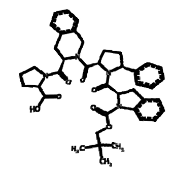 CC(C)(C)COC(=O)N1c2ccccc2C[C@@H]1C(=O)N1[C@@H](C(=O)N2Cc3ccccc3C[C@@H]2C(=O)N2CCCC2C(=O)O)CC[C@H]1c1ccccc1